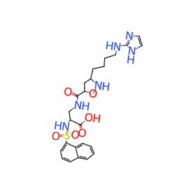 O=C(O)C(CNC(=O)C1CC(CCCCNc2ncc[nH]2)NO1)NS(=O)(=O)c1cccc2ccccc12